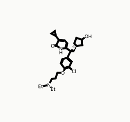 CCN(CC)CCCOc1ccc(C(=C[C@H]2CCC(O)C2)c2ccc(C3CC3)c(=O)[nH]2)cc1Cl